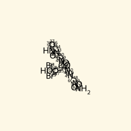 NS(=O)(=O)N1CCC(N2CCN(C(=O)C(Cc3cc(Br)c(O)c(Br)c3)OC(=O)N3CCC(N4CCc5ccccc5NC4=O)CC3)CC2)CC1